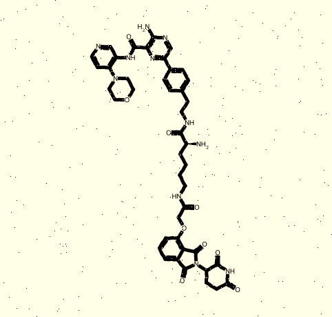 Nc1ncc(-c2ccc(CCNC(=O)[C@@H](N)CCCCNC(=O)COc3cccc4c3C(=O)N(C3CCC(=O)NC3=O)C4=O)cc2)nc1C(=O)Nc1cnccc1N1CCOCC1